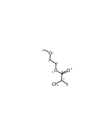 COCCOC(=O)C(C)Cl